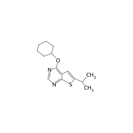 CC(C)c1cc2c(OC3CCCCC3)ncnc2s1